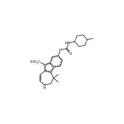 CCOC(=O)n1c2c(c3ccc(OC(=O)NN4CCN(C)CC4)cc31)C(C)(C)CNC=C2